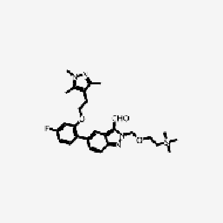 Cc1nn(C)c(C)c1CCOc1cc(F)ccc1-c1ccc2nn(COCC[Si](C)(C)C)c(C=O)c2c1